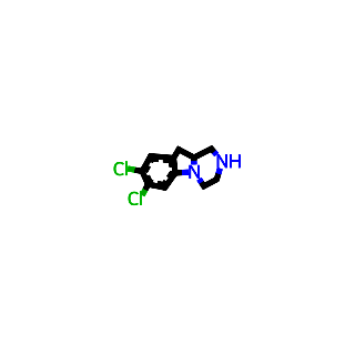 Clc1cc2c(cc1Cl)N1CCNCC1C2